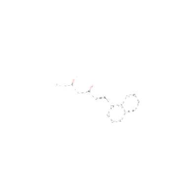 COC(=O)CC(=O)C=Cc1cccc2ccccc12